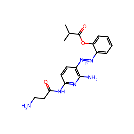 CC(C)C(=O)Oc1ccccc1/N=N/c1ccc(NC(=O)CCN)nc1N